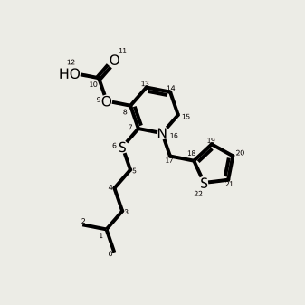 CC(C)CCCSC1=C(OC(=O)O)C=CCN1Cc1cccs1